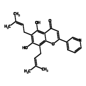 CC(C)=CCc1c(O)c(CC=C(C)C)c2oc(-c3cccnc3)cc(=O)c2c1O